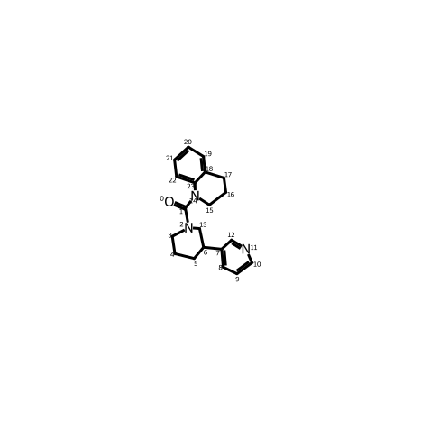 O=C(N1CCCC(c2cccnc2)C1)N1CCCc2ccccc21